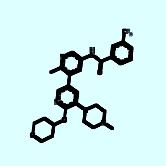 Cc1ncc(NC(=O)c2cccc(C(F)(F)F)c2)cc1-c1cnc(OC2CCOCC2)c(N2CCN(C)CC2)c1